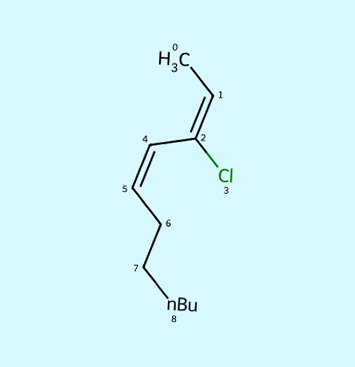 C/C=C(Cl)\C=C/CCCCCC